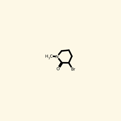 CN1CCCC(Br)C1=O